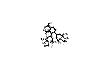 CC1(C)CC(c2ccc(C(=O)O)c(C(=O)O)c2C2CC(C)(C)N(C=O)C(C)(C)C2)CC(C)(C)N1C=O